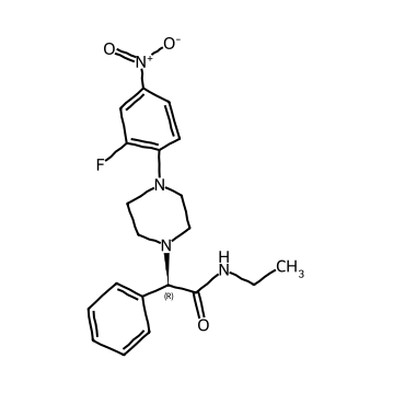 CCNC(=O)[C@@H](c1ccccc1)N1CCN(c2ccc([N+](=O)[O-])cc2F)CC1